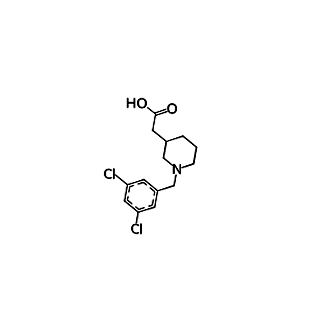 O=C(O)CC1CCCN(Cc2cc(Cl)cc(Cl)c2)C1